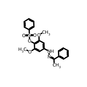 COc1cc(NN=C(C)c2ccccc2)cc(OC)c1OS(=O)(=O)c1ccccc1